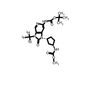 [2H]C([2H])([2H])n1c(=O)n([C@@H]2CC[C@@H](NC(=O)OC)C2)c2cc(NC(=O)OC(C)(C)C)ncc21